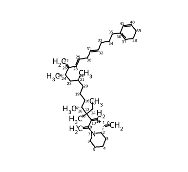 C=C[C@@H]1CCCCN1C(=C)C(=C)[C@@](C)(CC)[C@H](C)CCC[C@H](C)C[C@H](C)C(=C)/C=C/C/C=C/CCCC1=CCCC=C1